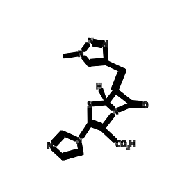 Cn1cc(/C=C2/C(=O)N3C(C(=O)O)=C(n4ccnc4)S[C@H]23)nn1